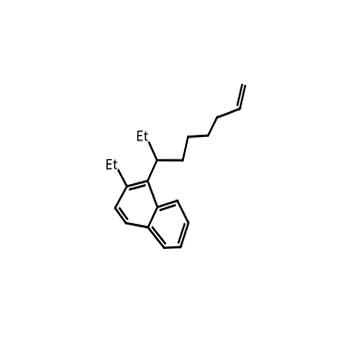 C=CCCCCC(CC)c1c(CC)ccc2ccccc12